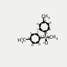 Cc1ccc([S+](C)(=O)c2ccc(C)cc2)cc1